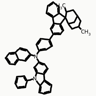 CC1CC2CC(C)C3(c4ccccc4-c4cc(-c5ccc(N(c6ccc7ccccc7c6)c6ccc7c8ccccc8n(-c8ccccc8)c7c6)cc5)ccc43)C(C1)C2